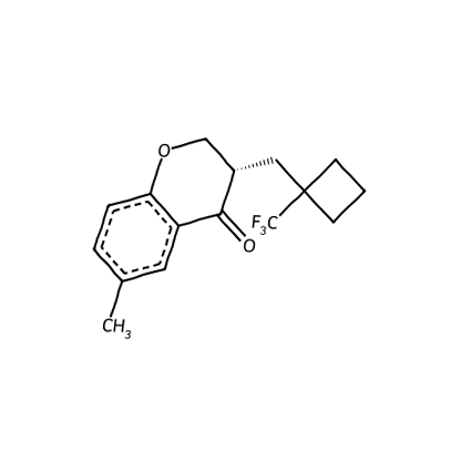 Cc1ccc2c(c1)C(=O)[C@@H](CC1(C(F)(F)F)CCC1)CO2